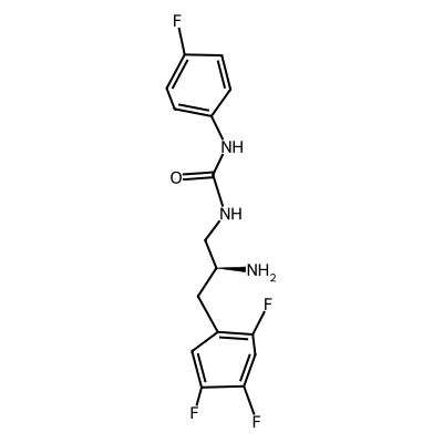 N[C@H](CNC(=O)Nc1ccc(F)cc1)Cc1cc(F)c(F)cc1F